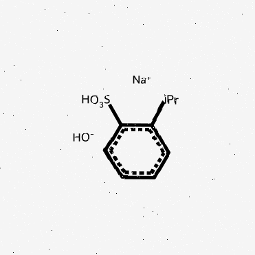 CC(C)c1ccccc1S(=O)(=O)O.[Na+].[OH-]